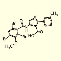 COc1c(Br)cc(Br)c(C(=O)Nc2csc(-c3cccc(C)c3)c2C(=O)O)c1Br